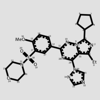 CCc1nc(C2CCCC2)n2nc(-c3ccc(OC)c(S(=O)(=O)N4CCOCC4)c3)nc(-n3cncn3)c12